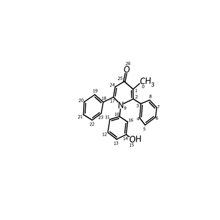 Cc1c(-c2ccccc2)n(-c2cccc(O)c2)c(-c2ccccc2)cc1=O